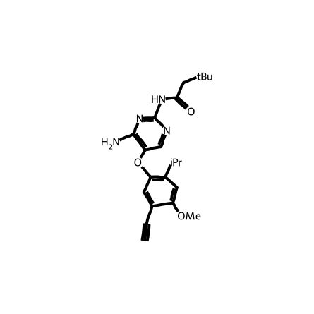 C#Cc1cc(Oc2cnc(NC(=O)CC(C)(C)C)nc2N)c(C(C)C)cc1OC